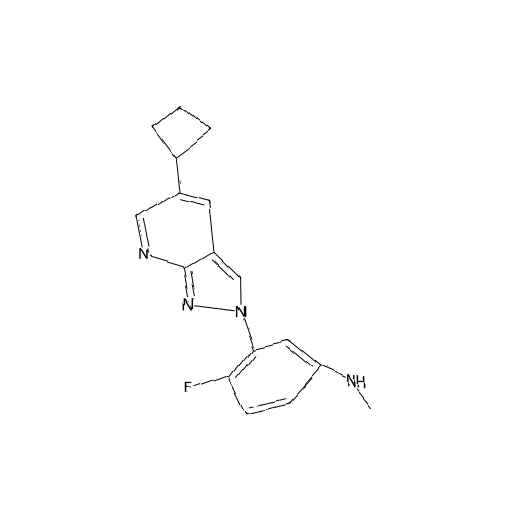 CNc1ccc(F)c(-n2cc3cc(C4CCC4)cnc3n2)c1